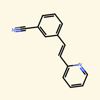 N#Cc1cccc(/C=C/c2ccccn2)c1